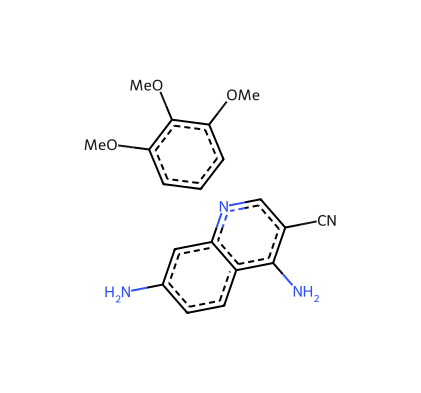 COc1cccc(OC)c1OC.N#Cc1cnc2cc(N)ccc2c1N